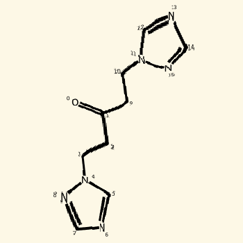 O=C(CCn1cncn1)CCn1cncn1